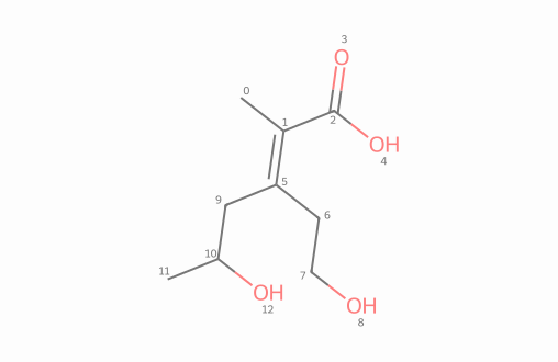 CC(C(=O)O)=C(CCO)CC(C)O